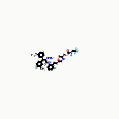 Cc1cccc([C@H](c2ccc(F)c(C)c2)[C@H](N=[N+]=[N-])C(=O)Nc2cccc(F)c2CC[C@@H]2CN[C@H](COC(=O)NCC(F)(F)F)CO2)c1